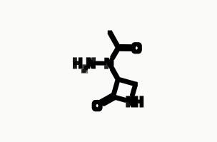 CC(=O)N(N)C1CNC1=O